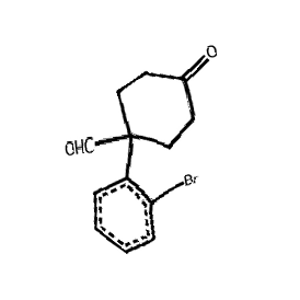 O=CC1(c2ccccc2Br)CCC(=O)CC1